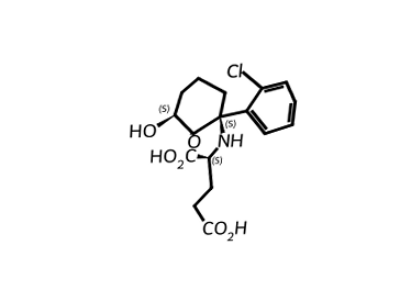 O=C(O)CC[C@H](N[C@]1(c2ccccc2Cl)CCC[C@H](O)C1=O)C(=O)O